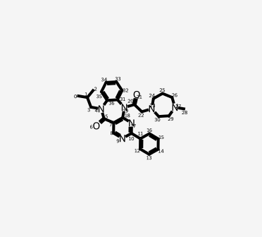 CC(C)CN1C(=O)c2cnc(-c3ccccc3)nc2N(C(=O)CN2CCCN(C)CC2)c2ccccc21